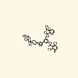 CC(Oc1cc(COC(=O)c2ncccc2N)cc(-c2cnn(C3CCN(NC(=O)OC(C)(C)C)CC3)c2)c1)c1c(Cl)ccc(F)c1Cl